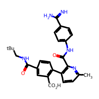 Cc1ccc(-c2ccc(C(=O)NCC(C)(C)C)cc2C(=O)O)c(C(=O)Nc2ccc(C(=N)N)cc2)n1